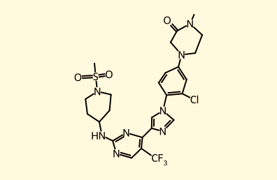 CN1CCN(c2ccc(-n3cnc(-c4nc(NC5CCN(S(C)(=O)=O)CC5)ncc4C(F)(F)F)c3)c(Cl)c2)CC1=O